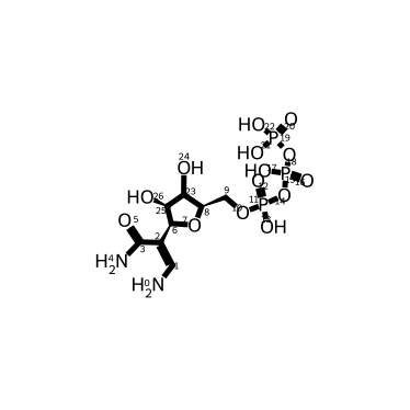 N/C=C(\C(N)=O)[C@@H]1O[C@H](COP(=O)(O)OP(=O)(O)OP(=O)(O)O)C(O)[C@@H]1O